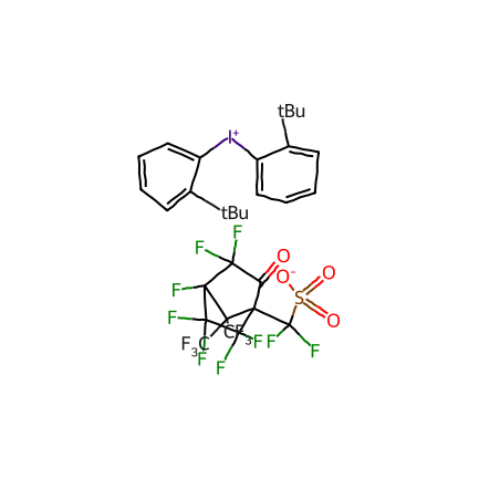 CC(C)(C)c1ccccc1[I+]c1ccccc1C(C)(C)C.O=C1C(F)(F)C2(F)C(F)(F)C(F)(F)C1(C(F)(F)S(=O)(=O)[O-])C2(C(F)(F)F)C(F)(F)F